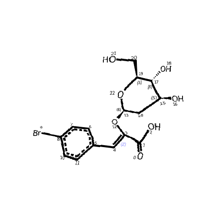 O=C(O)/C(=C/c1ccc(Br)cc1)O[C@@H]1C[C@H](O)[C@@H](O)[C@H](CO)O1